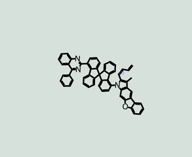 C=C/C=C\c1c(C)c2cc3c(cc2n1-c1cccc2c1-c1ccccc1C21c2ccccc2-c2c(-c4nc(-c5ccccc5)c5ccccc5n4)cccc21)oc1ccccc13